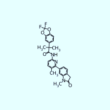 Cc1ccc(NC(=O)C(C)(C)c2ccc3c(c2)OC(F)(F)O3)nc1-c1ccc2c(c1)N(C)C(=O)C2